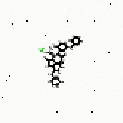 CC1=Cc2c(Cc3ccccc3)ccc(C)c2[CH]1[Zr+2]([CH]1C(C)=Cc2c(Cc3ccccc3)ccc(C)c21)=[Si](C)C.[Cl-].[Cl-]